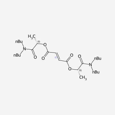 CCCCN(CCCC)C(=O)[C@H](C)OC(=O)/C=C/C(=O)O[C@@H](C)C(=O)N(CCCC)CCCC